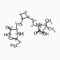 CCC(=O)NC(CSC1CCC1SCC(NC(C)(C)C)C(=O)O)C(=O)O